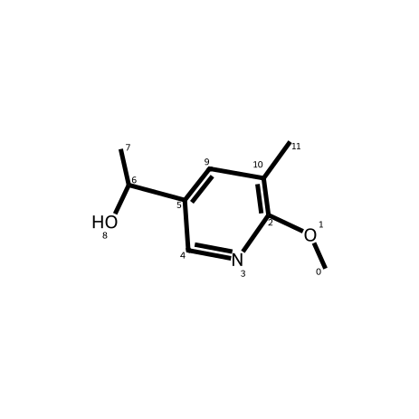 COc1ncc(C(C)O)cc1C